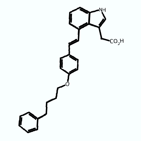 O=C(O)Cc1c[nH]c2cccc(C=Cc3ccc(OCCCCc4ccccc4)cc3)c12